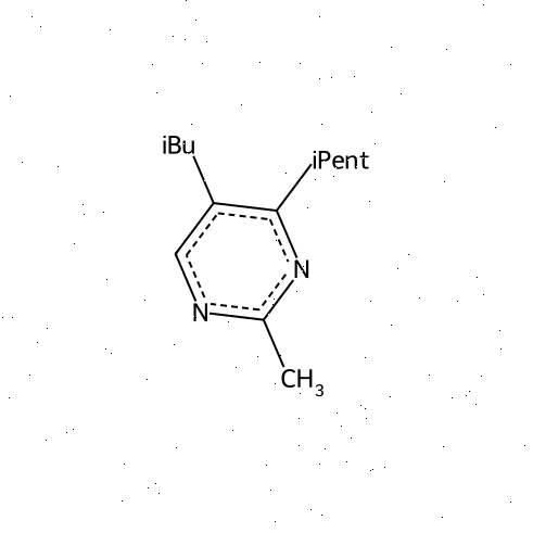 CCCC(C)c1nc(C)ncc1C(C)CC